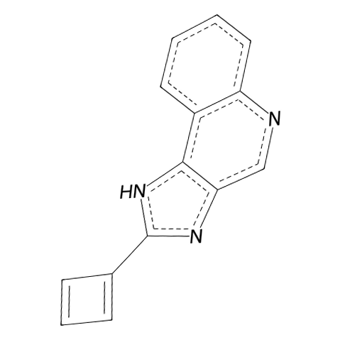 C1=CC(c2nc3cnc4ccccc4c3[nH]2)=C1